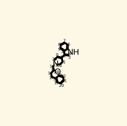 C1=C(c2c[nH]c3ccccc23)CCN(CC2CCc3ccccc3O2)C1